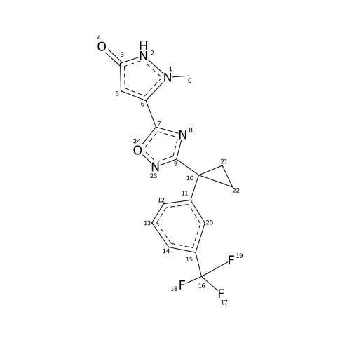 Cn1[nH]c(=O)cc1-c1nc(C2(c3cccc(C(F)(F)F)c3)CC2)no1